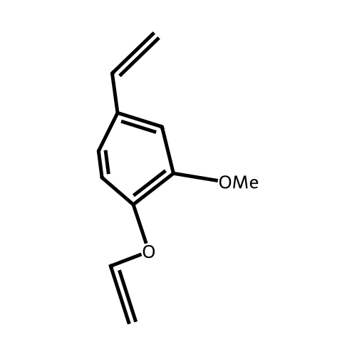 C=COc1ccc(C=C)cc1OC